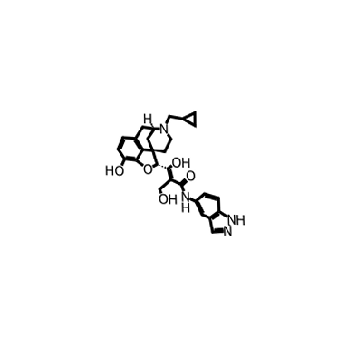 O=C(Nc1ccc2[nH]ncc2c1)/C(CO)=C(\O)[C@@H]1Oc2c(O)ccc3c2[C@@]12CCN(CC1CC1)[C@H](C3)C2